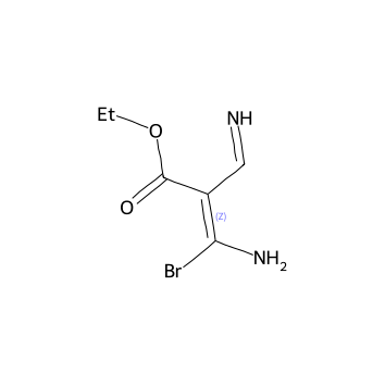 CCOC(=O)/C(C=N)=C(/N)Br